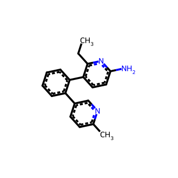 CCc1nc(N)ccc1-c1ccccc1-c1ccc(C)nc1